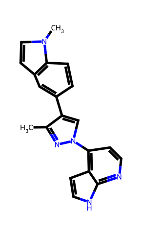 Cc1nn(-c2ccnc3[nH]ccc23)cc1-c1ccc2c(ccn2C)c1